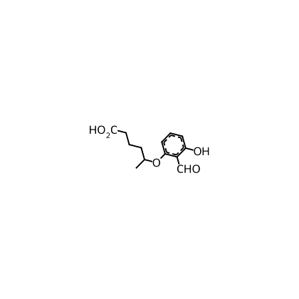 CC(CCCC(=O)O)Oc1cccc(O)c1C=O